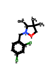 CC1(C)CON(Cc2ccc(Cl)cc2Cl)C1C=O